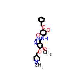 COc1cc2c(NC3=CC(=O)C(OCc4ccccc4)=CC3=O)ncnc2cc1OCC1CCN(C)CC1